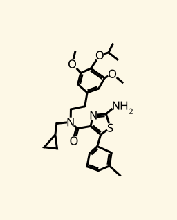 COc1cc(CCN(CC2CC2)C(=O)c2nc(N)sc2-c2cccc(C)c2)cc(OC)c1OC(C)C